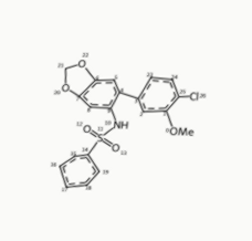 COc1cc(-c2cc3c(cc2NS(=O)(=O)c2ccccc2)OCO3)ccc1Cl